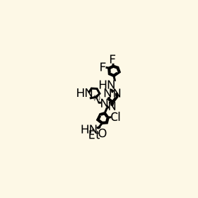 CCNC(=O)c1ccc(-c2nc3cnc(NCc4ccc(F)c(F)c4)nc3n2C[C@@H]2CCCNC2)c(Cl)c1